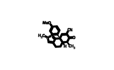 COc1ccc([C@]23C=C(C#N)C(=O)[C@@H](C)[C@@H]2CCc2cn(C)nc23)cc1